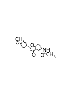 COc1ccc(-c2cc(=O)c3cc(NC(C)=O)ccc3o2)cc1